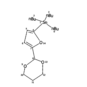 CCC[CH2][Sn]([CH2]CCC)([CH2]CCC)[c]1ccc(C2OCCCO2)o1